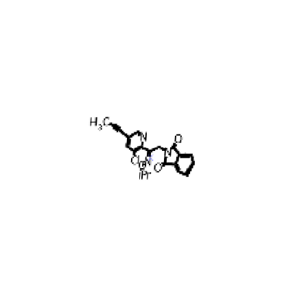 CC#Cc1cnc(/C(CN2C(=O)c3ccccc3C2=O)=N\OC(C)C)c(Cl)c1